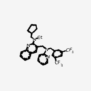 CCN(CC1CCCC1)c1nc2ccccc2cc1CN(Cc1cc(C(F)(F)F)cc(C(F)(F)F)c1)c1ccccn1